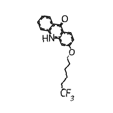 O=c1c2ccccc2[nH]c2cc(OCCCCCC(F)(F)F)ccc12